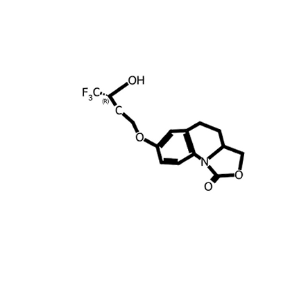 O=C1OCC2CCc3cc(OCC[C@@H](O)C(F)(F)F)ccc3N12